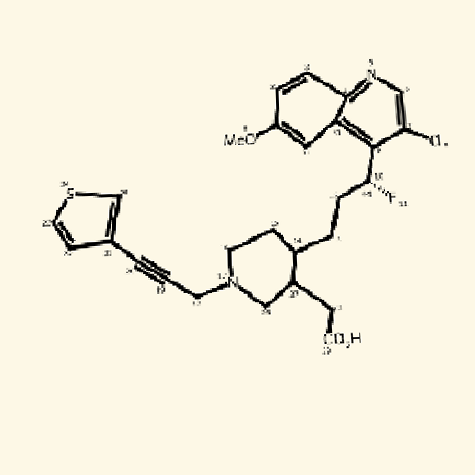 COc1ccc2ncc(Cl)c([C@H](F)CCC3CCN(CC#Cc4ccsc4)CC3CC(=O)O)c2c1